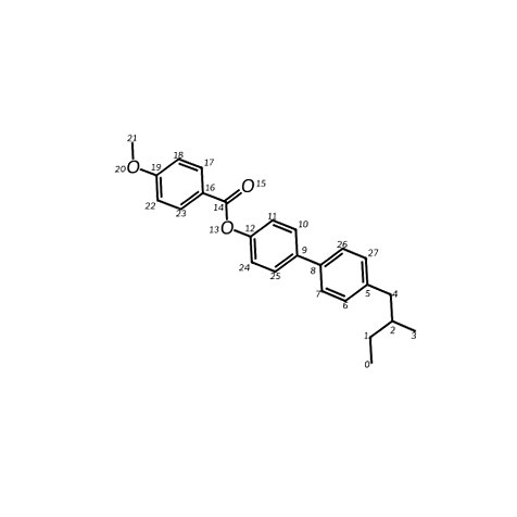 CCC(C)Cc1ccc(-c2ccc(OC(=O)c3ccc(OC)cc3)cc2)cc1